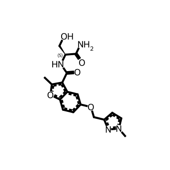 Cc1oc2ccc(OCc3ccn(C)n3)cc2c1C(=O)N[C@@H](CO)C(N)=O